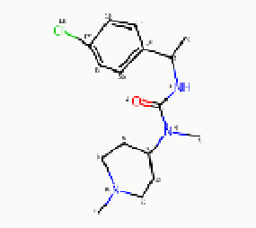 CC(NC(=O)N(C)C1CCN(C)CC1)c1ccc(Cl)cc1